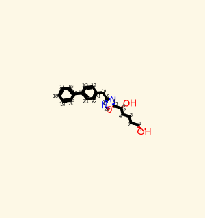 OCCCCC(O)c1nc(Cc2ccc(-c3ccccc3)cc2)no1